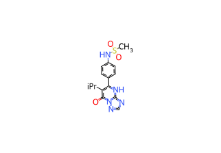 CC(C)c1c(-c2ccc(NS(C)(=O)=O)cc2)[nH]c2ncnn2c1=O